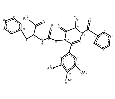 CC(=O)Oc1cc(C2=CN(C(=O)c3ccccc3)C(C(C)C)C(=O)N2CC(=O)NC(Cc2ccccc2)C(=O)C(F)(F)F)cc(OC(C)=O)c1OC(C)=O